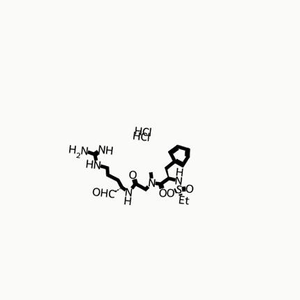 CCS(=O)(=O)N[C@H](Cc1ccccc1)C(=O)N(C)CC(=O)N[C@H](C=O)CCCNC(=N)N.Cl.Cl